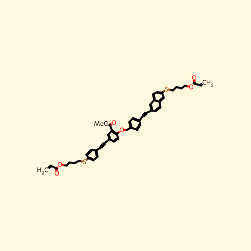 C=CC(=O)OCCCCSc1ccc(C#Cc2ccc(OCc3ccc(C#Cc4ccc5cc(SCCCCOC(=O)C=C)ccc5c4)cc3)c(C(=O)OC)c2)cc1